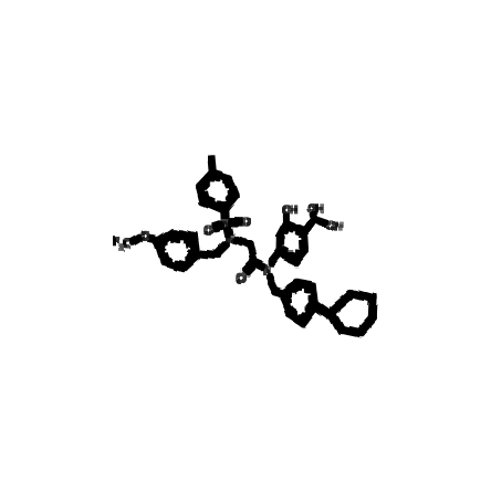 Cc1ccc(S(=O)(=O)N(CC(=O)N(Cc2ccc(C3CCCCC3)cc2)c2ccc(C(O)O)c(O)c2)Cc2ccc(OC(F)(F)F)cc2)cc1